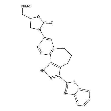 CC(=O)NCC1CN(c2ccc3c(c2)CCCc2c(-c4nc5ccccc5s4)n[nH]c2-3)C(=O)O1